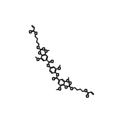 C=CC(=O)OCCCCOC(=O)Oc1c(OC)cc(C(=O)Oc2ccc(OC(=O)c3cc(OC)c(OC(=O)OCCCCOC(=O)C=C)c(OC)c3)c(OC)c2)cc1OC